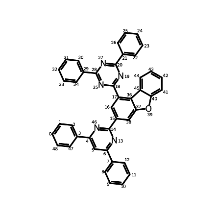 c1ccc(-c2cc(-c3ccccc3)nc(-c3cc(-c4nc(-c5ccccc5)nc(-c5ccccc5)n4)c4c(c3)oc3ccccc34)n2)cc1